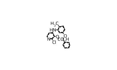 Cc1ccc(OCc2ccccc2)cc1Nc1ccnc(Cl)c1OC(=O)O